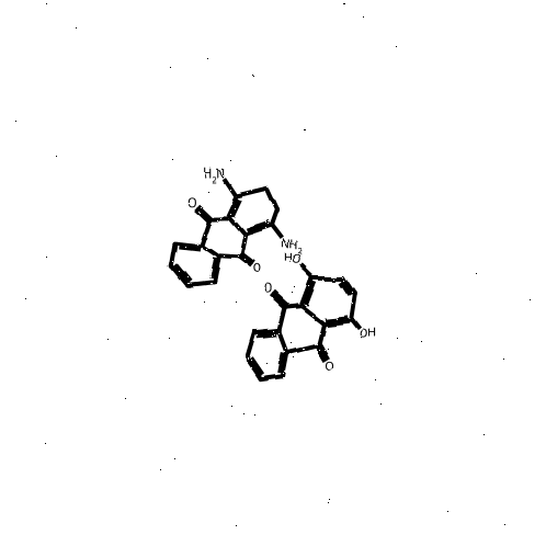 NC1=C2C(=O)c3ccccc3C(=O)C2=C(N)CC1.O=C1c2ccccc2C(=O)c2c(O)ccc(O)c21